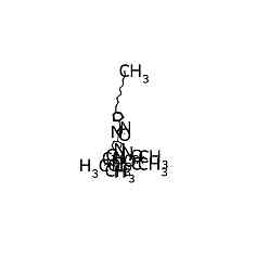 CCCCCCCCCc1ccc(-c2noc([C@@H]3CCCN(C(=NC(=O)OC(C)(C)C)NC(=O)OC(C)(C)C)C3)n2)cc1